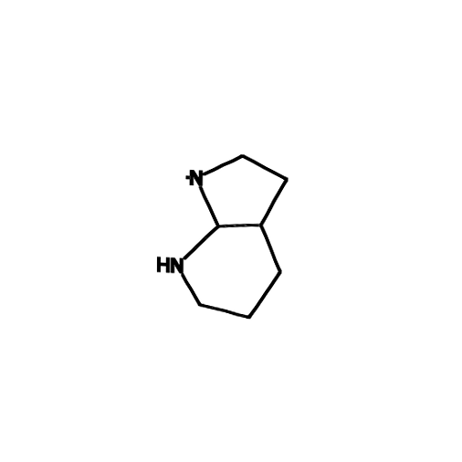 C1CNC2[N]CCC2C1